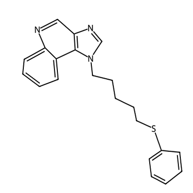 c1ccc(SCCCCCn2cnc3cnc4ccccc4c32)cc1